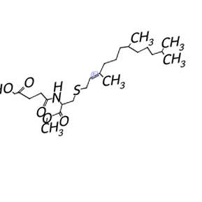 COC(=O)C(CSC/C=C(\C)CCCC(C)CCCC(C)C)NC(=O)CCC(=O)CO